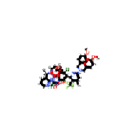 COc1ccc(CN(Cc2ccc(OC)cc2)c2cc(C)c(C(F)(F)F)c(-c3c(Cl)c4c5c(nc(Cl)nc5c3F)N([C@H](C)c3cccnc3N(C(=O)O)C(=O)OC(C)(C)C)CCO4)n2)cc1